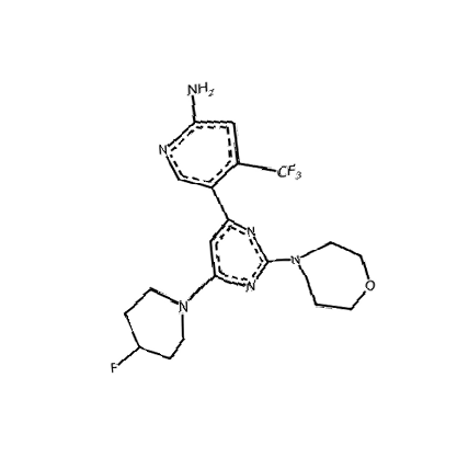 Nc1cc(C(F)(F)F)c(-c2cc(N3CCC(F)CC3)nc(N3CCOCC3)n2)cn1